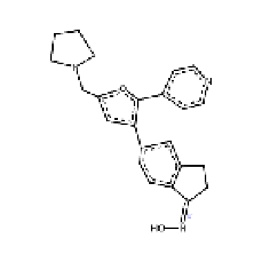 O/N=C1/CCc2cc(-c3cc(CN4CCCC4)oc3-c3ccncc3)ccc21